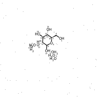 O.O.O.O.O.OC[C@H]1OC(O)[C@H](O)[C@@H](O)[C@@H]1O